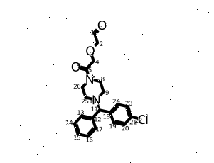 O=[C]COCC(=O)N1CCN([C@H](c2ccccc2)c2ccc(Cl)cc2)CC1